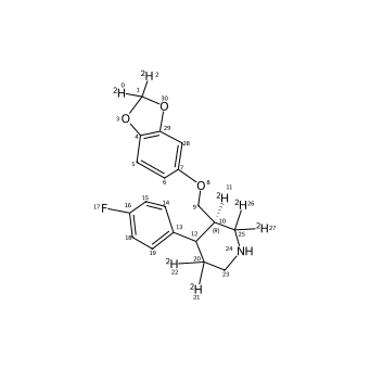 [2H]C1([2H])Oc2ccc(OC[C@]3([2H])C(c4ccc(F)cc4)C([2H])([2H])CNC3([2H])[2H])cc2O1